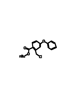 CCCCOC(=O)c1ccc(Oc2ccccc2)cc1CCl